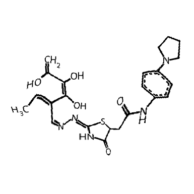 C=C(O)/C(O)=C(/O)C(=CC)/C=N\N=C1/NC(=O)C(CC(=O)Nc2ccc(N3CCCC3)cc2)S1